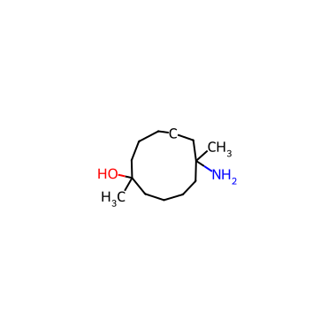 CC1(N)CCCCCC(C)(O)CCCC1